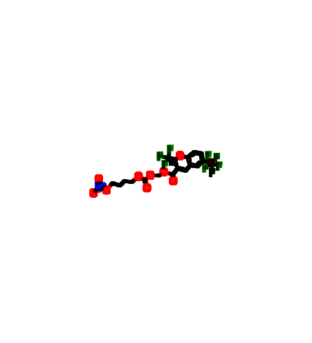 O=C(OCCCCO[N+](=O)[O-])OCOC(=O)C1=Cc2cc(S(F)(F)(F)(F)F)ccc2O[C@@H]1C(F)(F)F